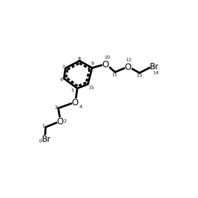 BrCOCOc1cccc(OCOCBr)c1